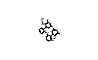 Cc1cc(C)c(N=C=O)c(-c2ccccc2Sc2ccccc2-c2cc(C)cc(C)c2N=C=O)c1